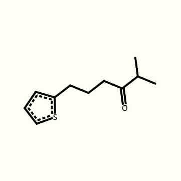 CC(C)C(=O)CCCc1cccs1